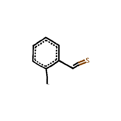 [CH2]c1ccccc1C=S